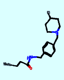 CCC1CCN(Cc2ccc(CNC(=O)CCNC)cc2)CC1